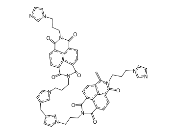 C=c1c2ccc3c4c(ccc(c(=O)n1CCCn1ccnc1)c42)C(=O)N(CCCn1ccc(Cc2ccn(CCCN4C(=O)c5ccc6c7c(ccc(c57)C4=O)C(=O)N(CCCn4ccnc4)C6=O)c2)c1)C3=O